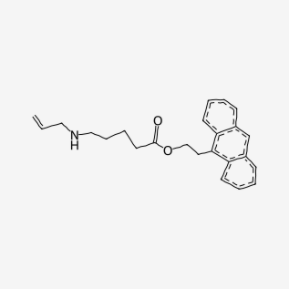 C=CCNCCCCC(=O)OCCc1c2ccccc2cc2ccccc12